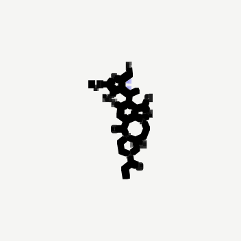 C=CC(=O)N1CCN2C(=O)c3cc(F)c(/C(C)=c4\c(C#N)c(N)s\c4=C/F)c4c(Cl)nn(c34)CC[C@H]2C1